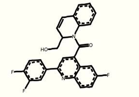 O=C(c1cc(-c2ccc(F)c(F)c2)nc2ccc(F)cc12)N1[C](CO)C=Cc2ccccc21